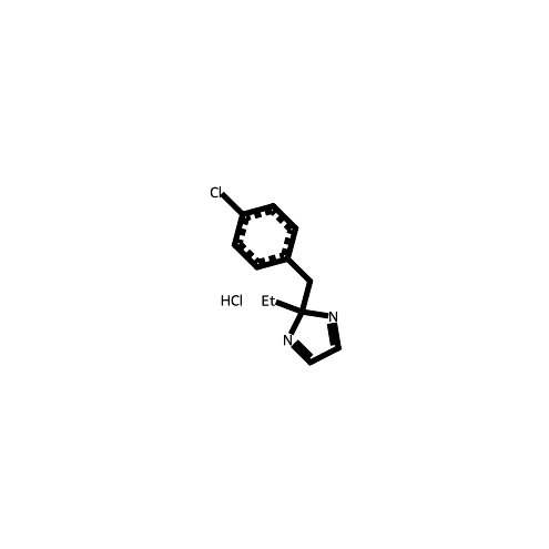 CCC1(Cc2ccc(Cl)cc2)N=CC=N1.Cl